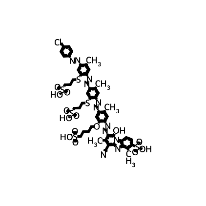 Cc1cc(N=Nc2cc(SCCCS(=O)(=O)O)c(N=Nc3cc(OCCCCS(=O)(=O)O)c(N=Nc4c(C)c(C#N)c5nc6c(C)c(S(=O)(=O)O)ccc6n5c4O)cc3C)cc2C)c(SCCCS(=O)(=O)O)cc1N=Nc1ccc(Cl)cc1